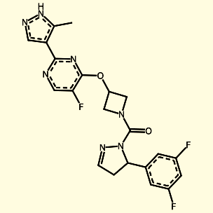 Cc1[nH]ncc1-c1ncc(F)c(OC2CN(C(=O)N3N=CCC3c3cc(F)cc(F)c3)C2)n1